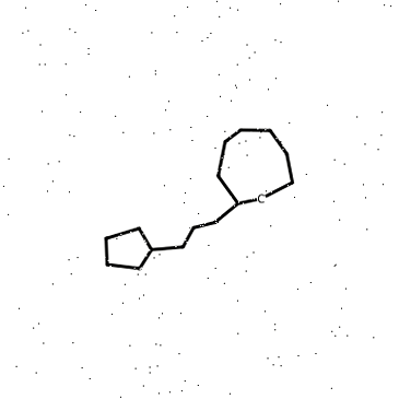 [CH](CC1CCCCCCC1)CC1CCCC1